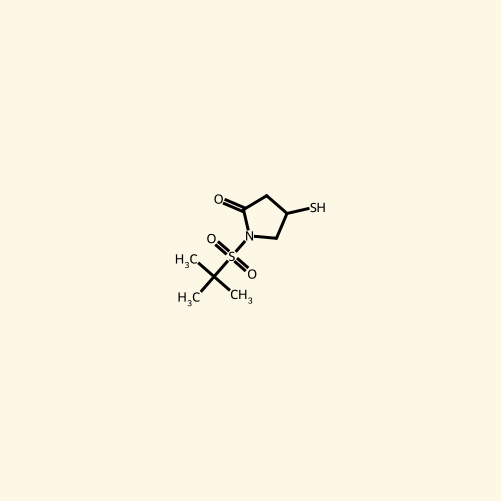 CC(C)(C)S(=O)(=O)N1CC(S)CC1=O